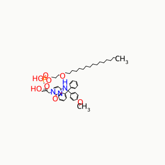 CCCCCCCCCCCCCCCCOCCCOP(=O)(O)CO[C@H](CO)Cn1ccc(NC(c2ccccc2)(c2ccccc2)c2ccc(OC)cc2)nc1=O